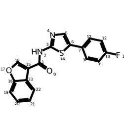 O=C(Nc1ncc(-c2ccc(F)cc2)s1)c1coc2ccccc12